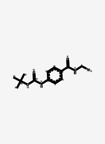 [2H]CNC(=O)c1ccc(NC(=O)OC(C)(C)C)cc1